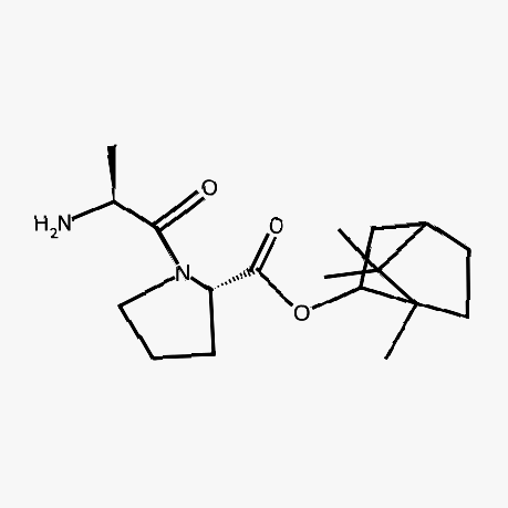 C[C@H](N)C(=O)N1CCC[C@H]1C(=O)OC1CC2CCC1(C)C2(C)C